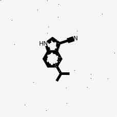 CC(C)c1ccc2[nH]cc(C#N)c2c1